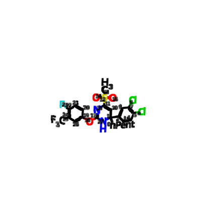 CCCCCC1(c2ccc(Cl)c(Cl)c2)C=C(S(C)(=O)=O)N=C(Oc2ccc(F)c(C(F)(F)F)c2)N1